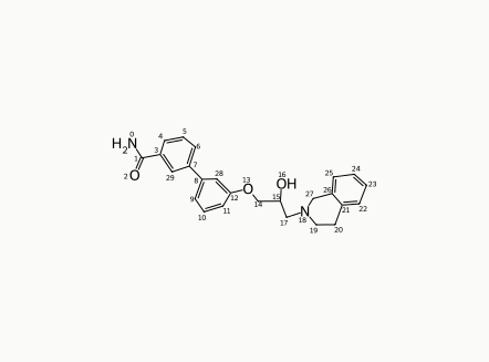 NC(=O)c1cccc(-c2cccc(OCC(O)CN3CCc4ccccc4C3)c2)c1